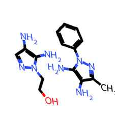 Cc1nn(-c2ccccc2)c(N)c1N.Nc1cnn(CCO)c1N